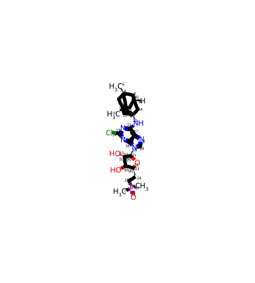 C[C@]12C[C@@H]3C[C@](C)(C1)C[C@@](Nc1nc(Cl)nc4c1ncn4[C@@H]1O[C@H](CCP(C)(C)=O)C(O)[C@@H]1O)(C3)C2